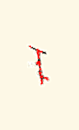 CCCCCCCCC(CCCCCC)C(=O)OCCCCCCN(CCO)CCCCCCOC(=O)OCC(CCCCCC)CCCCCC